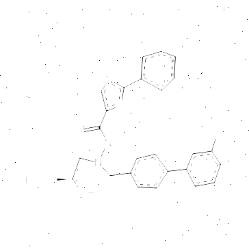 O=C(NN(Cc1ccc(-c2cccc(Cl)c2)cc1)C[C@@H](O)C(=O)O)c1cnc(-c2ccccc2)o1